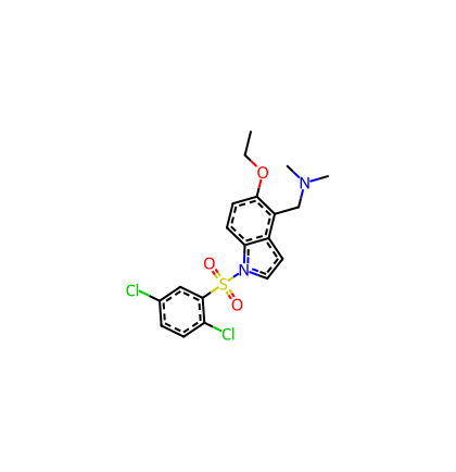 CCOc1ccc2c(ccn2S(=O)(=O)c2cc(Cl)ccc2Cl)c1CN(C)C